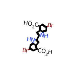 O=C(O)c1cc(Br)cc2[nH]c(-c3cc4c(C(=O)O)cc(Br)cc4[nH]3)cc12